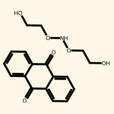 O=C1c2ccccc2C(=O)c2ccccc21.OCCONOCCO